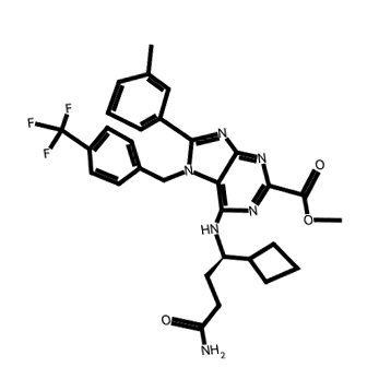 COC(=O)c1nc(N[C@H](CCC(N)=O)C2CCC2)c2c(n1)nc(-c1cccc(C)c1)n2Cc1ccc(C(F)(F)F)cc1